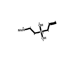 C=CC[Si](O)(O)CCNC